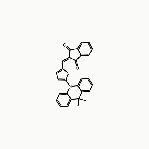 CC1(C)c2ccccc2N(c2ccc(C=C3C(=O)c4ccccc4C3=O)s2)c2ccccc21